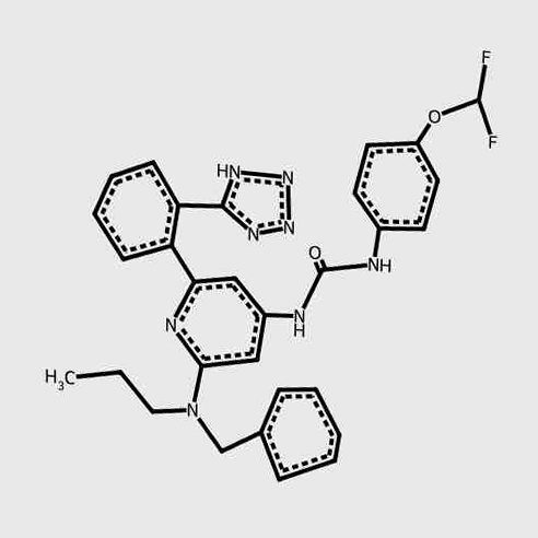 CCCN(Cc1ccccc1)c1cc(NC(=O)Nc2ccc(OC(F)F)cc2)cc(-c2ccccc2-c2nnn[nH]2)n1